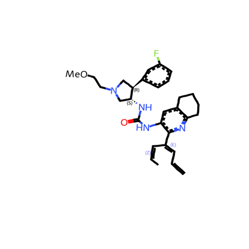 C=C/C=C(\C=C/C)c1nc2c(cc1NC(=O)N[C@@H]1CN(CCOC)C[C@H]1c1cccc(F)c1)CCCC2